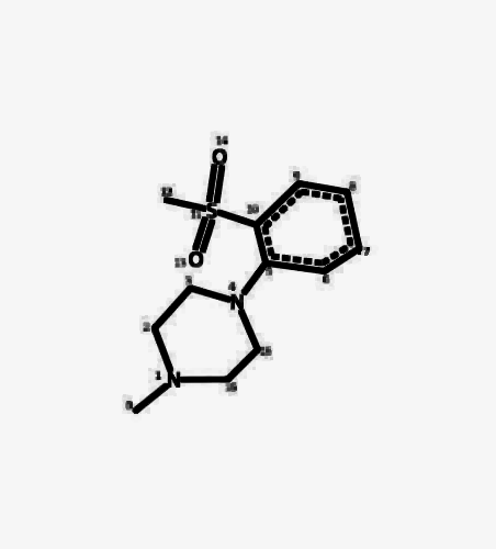 CN1CCN(c2c[c]ccc2S(C)(=O)=O)CC1